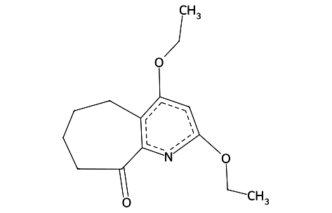 CCOc1cc(OCC)c2c(n1)C(=O)CCCC2